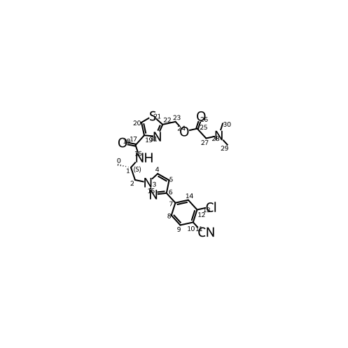 C[C@@H](Cn1ccc(-c2ccc(C#N)c(Cl)c2)n1)NC(=O)c1csc(COC(=O)CN(C)C)n1